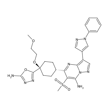 COCCO[C@]1(c2nnc(N)o2)CC[C@@H](c2nc3c(-c4cnn(-c5ccccc5)c4)cnn3c(N)c2S(C)(=O)=O)CC1